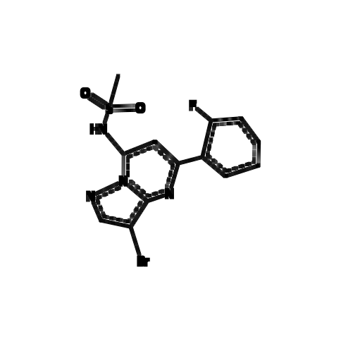 CS(=O)(=O)Nc1cc(-c2ccccc2F)nc2c(Br)cnn12